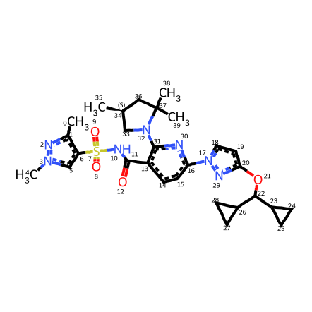 Cc1nn(C)cc1S(=O)(=O)NC(=O)c1ccc(-n2ccc(OC(C3CC3)C3CC3)n2)nc1N1C[C@@H](C)CC1(C)C